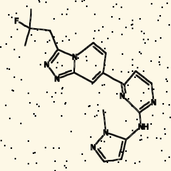 Cn1nccc1Nc1nccc(-c2ccn3c(CC(C)(C)F)nnc3c2)n1